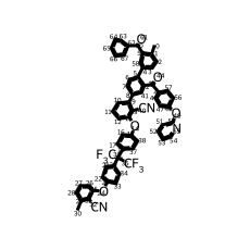 Cc1ccc(-c2ccc(-c3cccc(Oc4ccc(C(c5ccc(Oc6cccc(C)c6C#N)cc5)(C(F)(F)F)C(F)(F)F)cc4)c3C#N)cc2C(=O)c2ccc(Oc3ccccn3)cc2)cc1C(=O)c1ccccc1